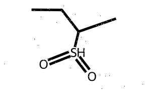 CCC(C)[SH](=O)=O